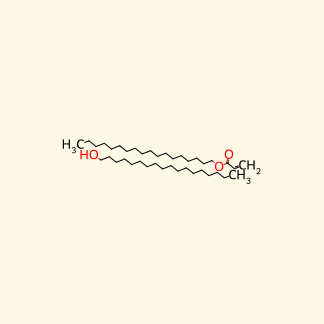 C=CC(=O)OCCCCCCCCCCCCCCCCCC.CCCCCCCCCCCCCCCCCCO